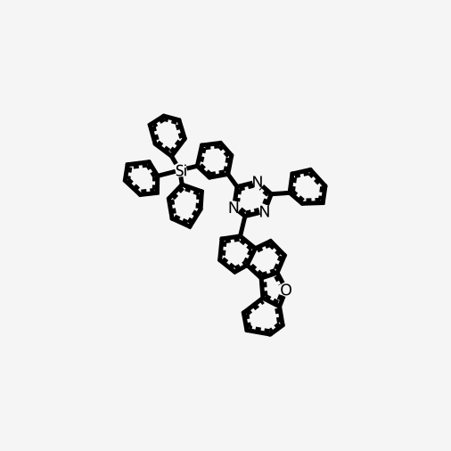 c1ccc(-c2nc(-c3cccc([Si](c4ccccc4)(c4ccccc4)c4ccccc4)c3)nc(-c3cccc4c3ccc3oc5ccccc5c34)n2)cc1